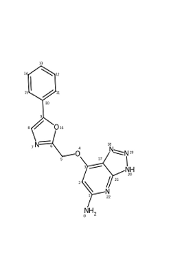 Nc1cc(OCc2ncc(-c3ccccc3)o2)c2nn[nH]c2n1